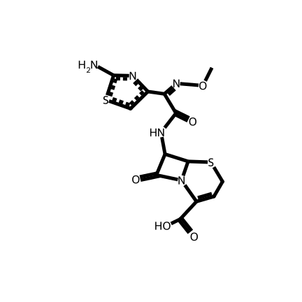 CO/N=C(\C(=O)NC1C(=O)N2C(C(=O)O)=CCSC12)c1csc(N)n1